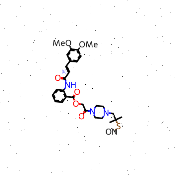 COc1ccc(/C=C/C(=O)Nc2ccccc2C(=O)OCC(=O)N2CCN(CC(C)(C)SN=O)CC2)cc1OC